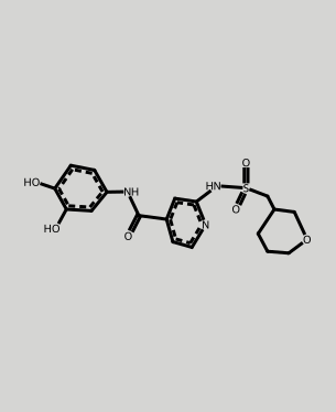 O=C(Nc1ccc(O)c(O)c1)c1ccnc(NS(=O)(=O)CC2CCCOC2)c1